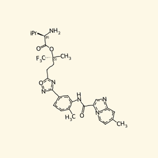 Cc1ccn2c(C(=O)Nc3cc(-c4noc(CC[C@](C)(OC(=O)[C@H](N)C(C)C)C(F)(F)F)n4)ccc3C)cnc2c1